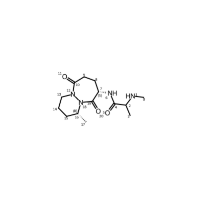 CNC(C)C(=O)N[C@H]1CCC(=O)N2CCC[C@@H](C)N2C1=O